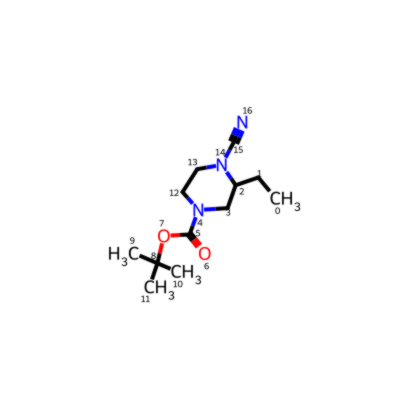 CCC1CN(C(=O)OC(C)(C)C)CCN1C#N